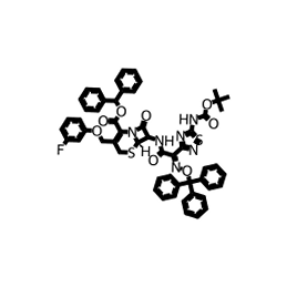 CC(C)(C)OC(=O)Nc1nc(/C(=N\OC(c2ccccc2)(c2ccccc2)c2ccccc2)C(=O)NC2C(=O)N3C(C(=O)OC(c4ccccc4)c4ccccc4)=C(COc4cccc(F)c4)CS[C@H]23)ns1